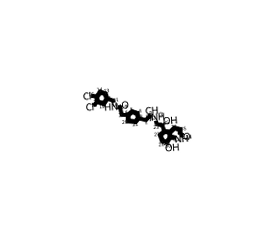 C[C@H](Cc1ccc(CC(=O)NCc2ccc(Cl)c(Cl)c2)cc1)NC[C@H](O)c1ccc(O)c2[nH]c(=O)ccc12